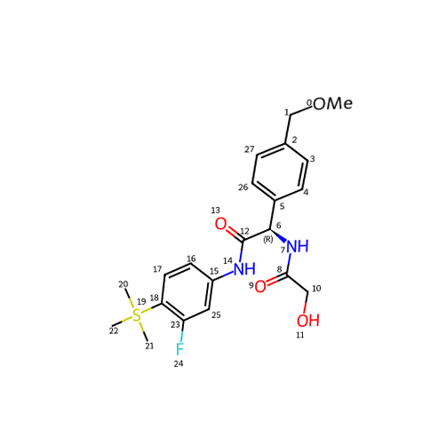 COCc1ccc([C@@H](NC(=O)CO)C(=O)Nc2ccc(S(C)(C)C)c(F)c2)cc1